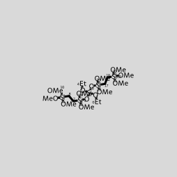 CCO[Si](OCC)(O[Si](CC[Si](OC)(OC)OC)(OC)OC)O[Si](CC[Si](OC)(OC)OC)(OC)OC